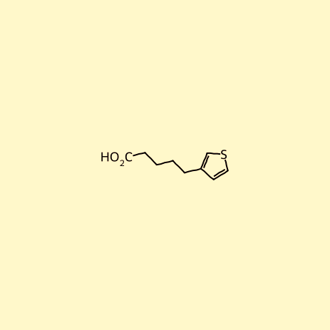 O=C(O)CCCCc1ccsc1